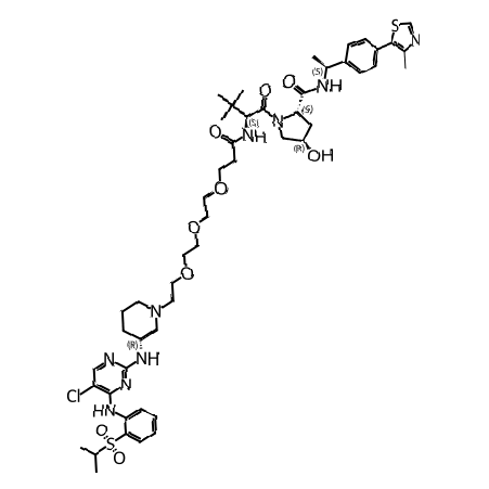 Cc1ncsc1-c1ccc([C@H](C)NC(=O)[C@@H]2C[C@@H](O)CN2C(=O)[C@@H](NC(=O)CCOCCOCCOCCN2CCC[C@@H](Nc3ncc(Cl)c(Nc4ccccc4S(=O)(=O)C(C)C)n3)C2)C(C)(C)C)cc1